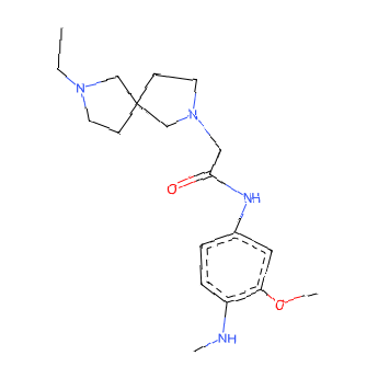 CCN1CCC2(CCN(CC(=O)Nc3ccc(NC)c(OC)c3)C2)C1